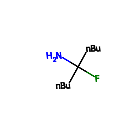 CCCCC(N)(F)CCCC